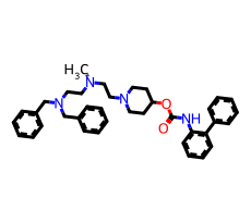 CN(CCN1CCC(OC(=O)Nc2ccccc2-c2ccccc2)CC1)CCN(Cc1ccccc1)Cc1ccccc1